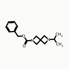 CC(C)N1CC2(CN(C(=O)OCc3ccccc3)C2)C1